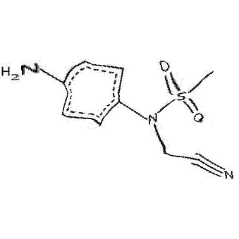 CS(=O)(=O)N(CC#N)c1ccc(N)cc1